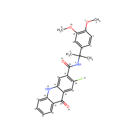 COc1ccc(C(C)(C)NC(=O)c2cc3[nH]c4ccccc4c(=O)c3cc2F)cc1OC